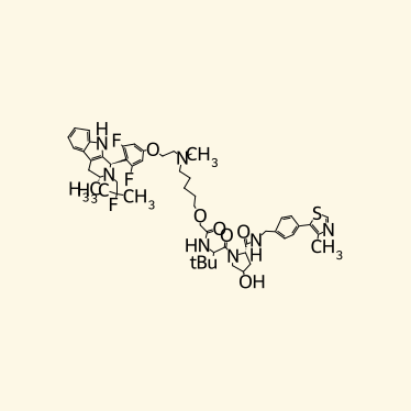 Cc1ncsc1-c1ccc(CNC(=O)[C@@H]2C[C@@H](O)CN2C(=O)C(NC(=O)COCCCCCN(C)CCOc2cc(F)c([C@@H]3c4[nH]c5ccccc5c4C[C@@H](C)N3CC(C)(C)F)c(F)c2)C(C)(C)C)cc1